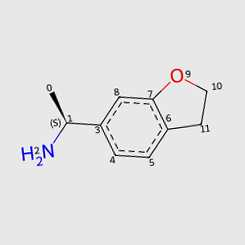 C[C@H](N)c1ccc2c(c1)OCC2